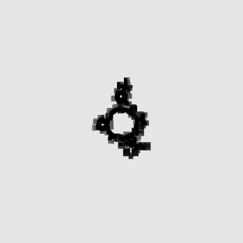 CC(C)[C@H]1NC(=O)[C@@H](Cc2cccc(C(F)(F)F)c2)NCCOc2ccccc2C[C@H](C)CNC(=O)[C@H](CNC(=N)N)NC1=O